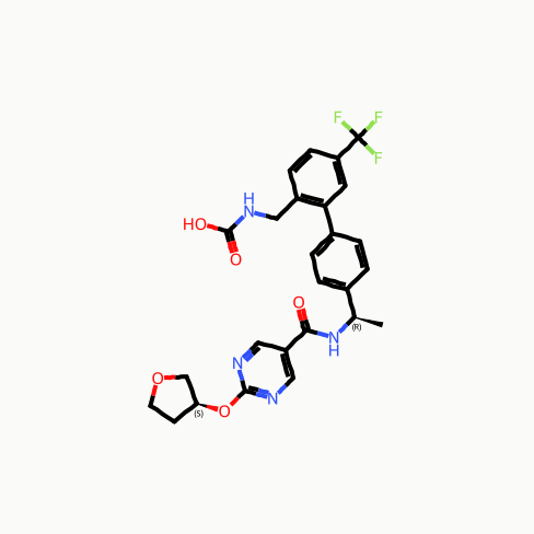 C[C@@H](NC(=O)c1cnc(O[C@H]2CCOC2)nc1)c1ccc(-c2cc(C(F)(F)F)ccc2CNC(=O)O)cc1